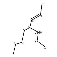 C/C=C/C(CCCC)NCC